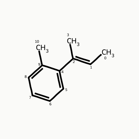 C/C=C(\C)c1ccccc1C